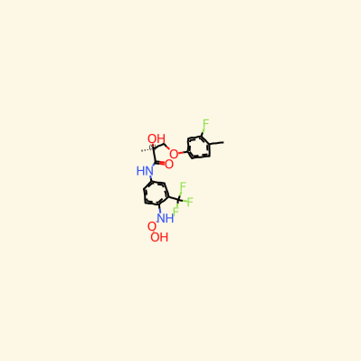 Cc1ccc(OC[C@](C)(O)C(=O)Nc2ccc(NOO)c(C(F)(F)F)c2)cc1F